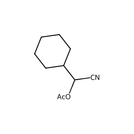 CC(=O)OC(C#N)C1CCCCC1